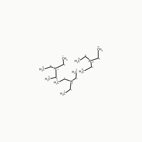 C[CH2][Al]([CH2]C)[CH2]C.C[CH2][Al]([CH2]C)[CH2]C.C[CH2][Al]([CH2]C)[CH2]C